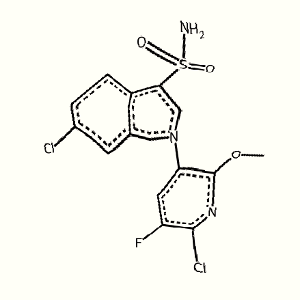 COc1nc(Cl)c(F)cc1-n1cc(S(N)(=O)=O)c2ccc(Cl)cc21